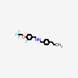 CCCc1ccc(C=NN=Cc2ccc(OCC(F)(F)F)c(F)c2)cc1